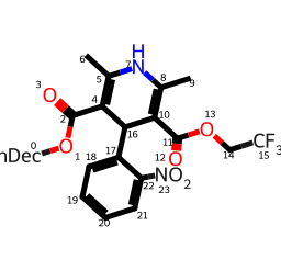 CCCCCCCCCCOC(=O)C1=C(C)NC(C)=C(C(=O)OCC(F)(F)F)C1c1ccccc1[N+](=O)[O-]